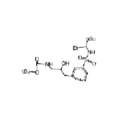 CCCCC(CC)NS(=O)(=O)c1cccc(CC(O)CNC(=O)OC(C)(C)C)c1